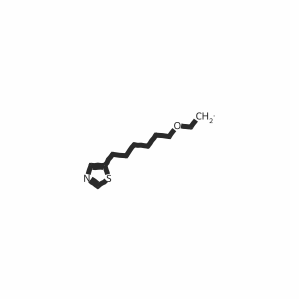 [CH2]COCCCCCCc1cncs1